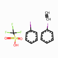 C#C.Ic1ccccc1.Ic1ccccc1.O=S(=O)(O)C(F)(F)F